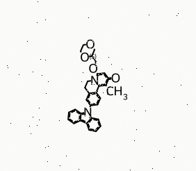 Cc1c2n(c(OC[C@@H]3COCCO3)cc1=O)CCc1cc(-n3c4ccccc4c4ccccc43)ccc1-2